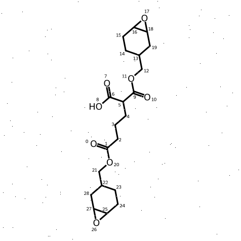 O=C(CCCC(C(=O)O)C(=O)OCC1CCC2OC2C1)OCC1CCC2OC2C1